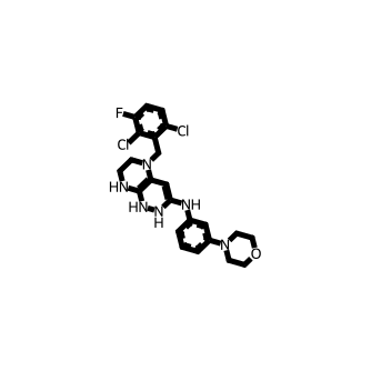 Fc1ccc(Cl)c(CN2CCNC3=C2C=C(Nc2cccc(N4CCOCC4)c2)NN3)c1Cl